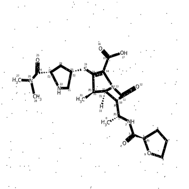 C[C@@H](NC(=O)[C@H]1CCCO1)[C@H]1C(=O)N2C(C(=O)O)=C(S[C@@H]3CN[C@H](C(=O)N(C)C)C3)[C@H](C)[C@H]12